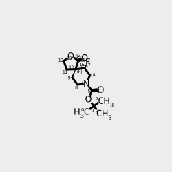 CC(C)(C)OC(=O)N1CC[C@]2(CCOC2=O)[C@H](F)C1